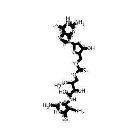 COC(COC(=S)OCC1OC(n2cnc3c(=S)[nH]c(N)nc32)CC1O)C(O)C(O)Nc1nc(N)[nH]c(=S)c1N